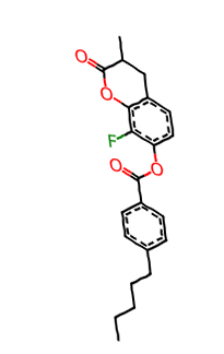 CCCCCc1ccc(C(=O)Oc2ccc3c(c2F)OC(=O)C(C)C3)cc1